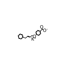 O=C([O-])c1ccc(OCC=CCc2ccccc2)cc1.[K+]